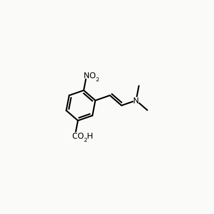 CN(C)C=Cc1cc(C(=O)O)ccc1[N+](=O)[O-]